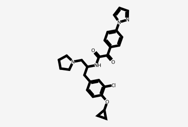 O=C(NC(Cc1ccc(OC2CC2)c(Cl)c1)CN1CCCC1)C(=O)c1ccc(-n2cccn2)cc1